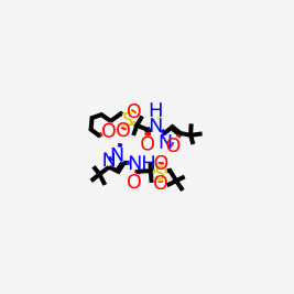 CC(C)(C)c1cc(NC(=O)C(C)(C)S(=O)(=O)CC2CCCCO2)no1.Cn1nc(C(C)(C)C)cc1NC(=O)C(C)(C)S(=O)(=O)CC(C)(C)C